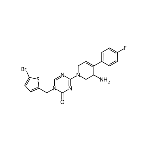 NC1CN(c2ncn(Cc3ccc(Br)s3)c(=O)n2)CC=C1c1ccc(F)cc1